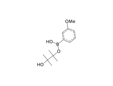 COc1cccc(B(O)OC(C)(C)C(C)(C)O)c1